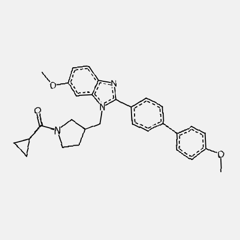 COc1ccc(-c2ccc(-c3nc4ccc(OC)cc4n3CC3CCN(C(=O)C4CC4)C3)cc2)cc1